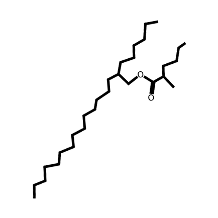 CCCCCCCCCCCCCCC(CCCCCC)COC(=O)C(C)CCCC